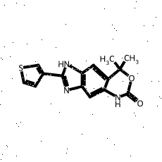 CC1(C)OC(=O)Nc2cc3nc(-c4ccsc4)[nH]c3cc21